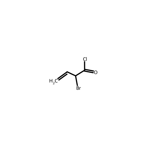 C=CC(Br)C(=O)Cl